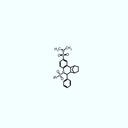 CC(C)S(=O)(=O)N1c2ccc(S(=O)(=O)N(C)C)cc2C2C3CCC(C3)C2C1c1ccccc1